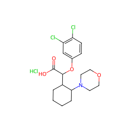 Cl.O=C(O)C(Oc1ccc(Cl)c(Cl)c1)C1CCCCC1N1CCOCC1